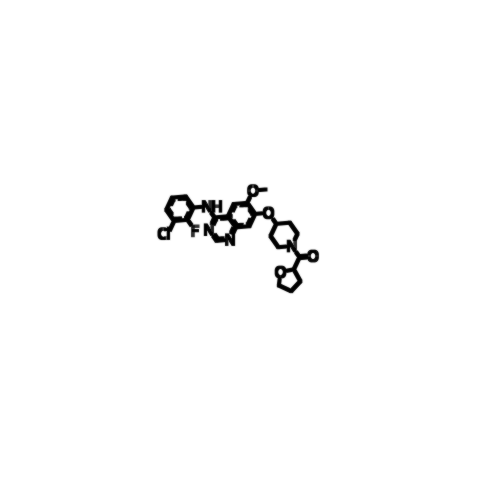 COc1cc2c(Nc3cccc(Cl)c3F)ncnc2cc1OC1CCN(C(=O)C2CCCO2)CC1